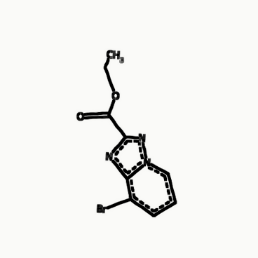 CCOC(=O)c1nc2c(Br)cccn2n1